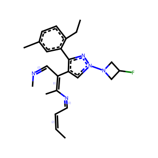 C\C=C/C=N\C(C)=C(\C=N/C)c1cn(N2CC(F)C2)nc1-c1cc(C)ccc1CC